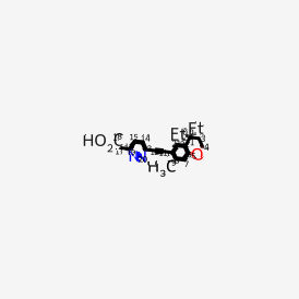 CCC1(CC)CCOc2cc(C)c(C#Cc3ccc(CC(=O)O)nn3)cc21